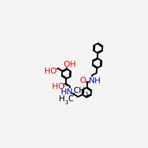 CC(C)(Cc1cccc(C(=O)NCCc2ccc(-c3ccccc3)cc2)c1)NC[C@@H](O)c1ccc(O)c(CO)c1